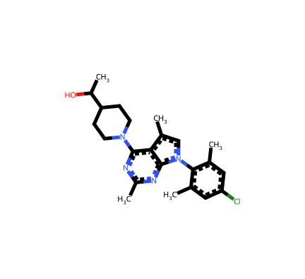 Cc1nc(N2CCC(C(C)O)CC2)c2c(C)cn(-c3c(C)cc(Cl)cc3C)c2n1